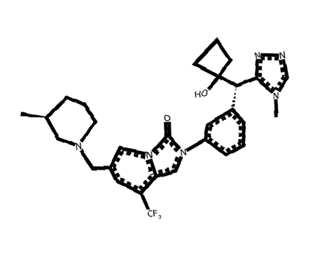 C[C@H]1CCCN(Cc2cc(C(F)(F)F)c3cn(-c4cccc([C@@H](c5nncn5C)C5(O)CCC5)c4)c(=O)n3c2)C1